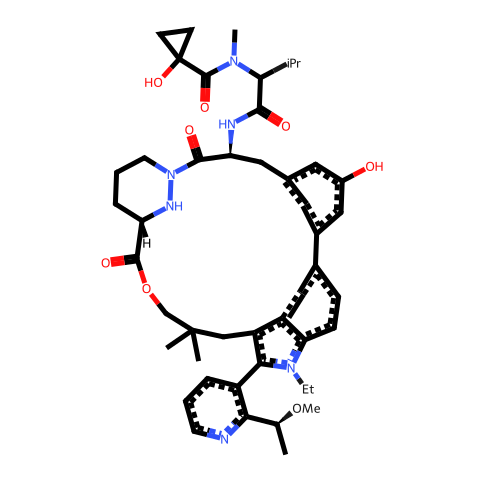 CCn1c(-c2cccnc2[C@H](C)OC)c2c3cc(ccc31)-c1cc(O)cc(c1)C[C@H](NC(=O)C(C(C)C)N(C)C(=O)C1(O)CC1)C(=O)N1CCC[C@H](N1)C(=O)OCC(C)(C)C2